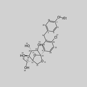 CCOc1ccc(Cc2cc([C@]34OC[C@](C(C)O)(O3)[C@@H](O)[C@H](O)C4O)ccc2Cl)cc1